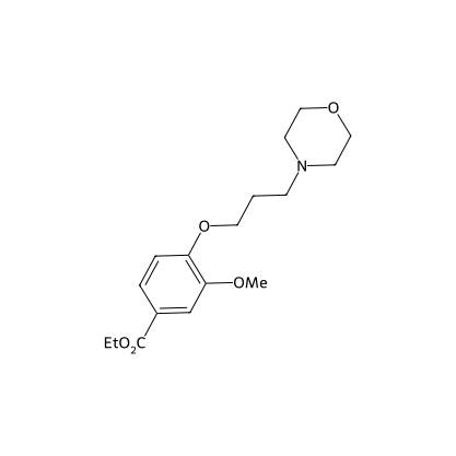 CCOC(=O)c1ccc(OCCCN2CCOCC2)c(OC)c1